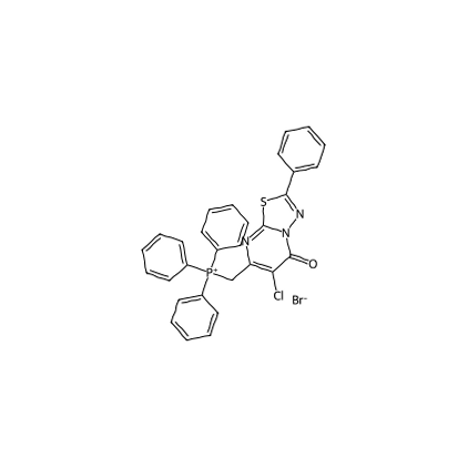 O=c1c(Cl)c(C[P+](c2ccccc2)(c2ccccc2)c2ccccc2)nc2sc(-c3ccccc3)nn12.[Br-]